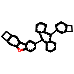 c1ccc2c(-c3ccc4oc5cc6c(cc5c4c3)CC6)c3ccccc3c(-c3ccc4c(c3)CC4)c2c1